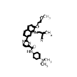 C=C(C#N)CNc1c(OCCOC)ccc2ccc(-c3nccc(C(=O)N[C@H]4CC[C@@H](N(C)C)CC4)n3)cc12